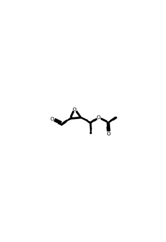 CC(=O)OC(C)C1OC1C=O